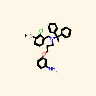 CC(c1ccccc1)(c1ccccc1)N(CCCOc1cccc(N)c1)Cc1cccc(C(F)(F)F)c1Cl